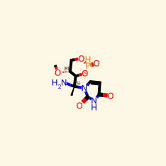 CO[C@@H]1CO[PH](=O)OC1[C@@](C)(N)n1ccc(=O)[nH]c1=O